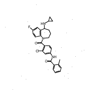 Cc1ccccc1C(=O)Nc1ccc(C(=O)N2CCCC(NC3CC3)c3cc(F)ccc32)c(Cl)c1